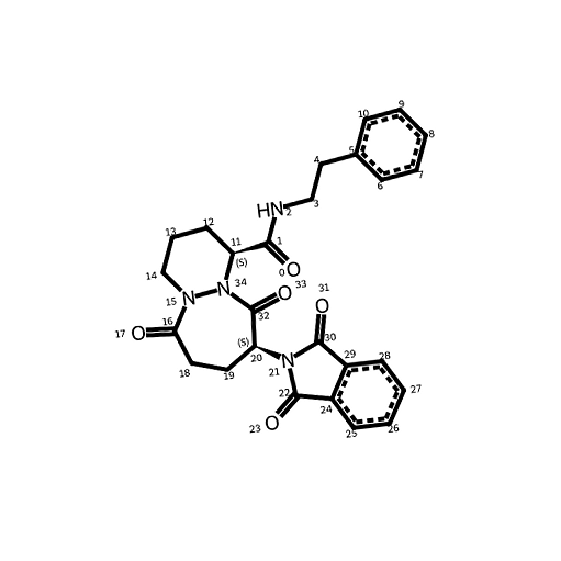 O=C(NCCc1ccccc1)[C@@H]1CCCN2C(=O)CC[C@H](N3C(=O)c4ccccc4C3=O)C(=O)N12